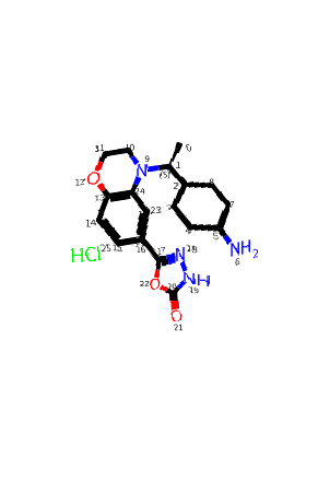 C[C@@H](C1CCC(N)CC1)N1CCOc2ccc(-c3n[nH]c(=O)o3)cc21.Cl